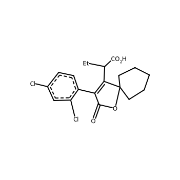 CCC(C(=O)O)C1=C(c2ccc(Cl)cc2Cl)C(=O)OC12CCCCC2